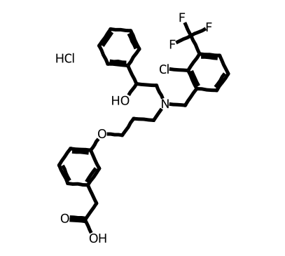 Cl.O=C(O)Cc1cccc(OCCCN(Cc2cccc(C(F)(F)F)c2Cl)CC(O)c2ccccc2)c1